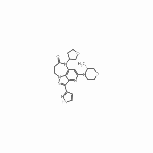 C[C@@H]1COCCN1c1cc2c3c(n1)c(-c1cc[nH]n1)nn3CCC(=O)N2C1CCOC1